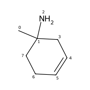 CC1(N)CC=CCC1